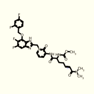 COC(=O)NC(CC/C=C/C(=O)N(C)C)C(=O)Nc1cccn(Cc2nc3cc(F)c(F)c(OCc4ccc(F)cc4F)c3[nH]2)c1=O